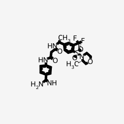 CC(NC(=O)CC(=O)Nc1ccc(C(=N)N)cc1)c1ccc(S(=O)(=O)N2CCOC[C@@H]2C)c(C(F)(F)F)c1